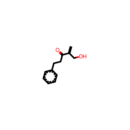 C=C(CO)C(=O)CCc1ccccc1